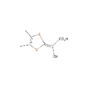 CC1=C(C)SC(=C(C#N)C(=O)O)S1